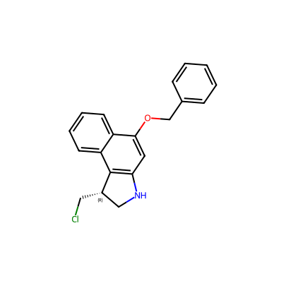 ClC[C@H]1CNc2cc(OCc3ccccc3)c3ccccc3c21